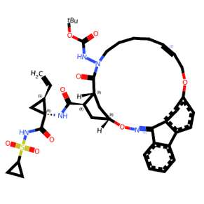 C=C[C@@H]1C[C@]1(NC(=O)[C@@H]1C[C@@H]2C[C@H]1C(=O)N(NC(=O)OC(C)(C)C)CCCC/C=C\COc1ccc3c(c1)/C(=N\O2)c1ccccc1-3)C(=O)NS(=O)(=O)C1CC1